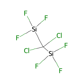 F[Si](F)(F)C(Cl)(Cl)[Si](F)(F)F